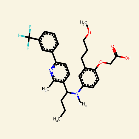 CCCC(c1ccc(-c2cccc(C(F)(F)F)c2)nc1C)N(C)c1ccc(OCC(=O)O)c(CCCOC)c1